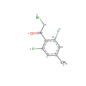 Cc1cc(F)c(C(=O)CBr)c(F)c1